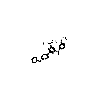 COc1cccc(Nc2cc(N(C)C)nc(N3CCN(CC4CCCCC4)CC3)n2)c1